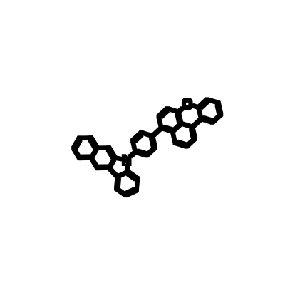 c1ccc2c(c1)Oc1ccc(-c3ccc(-n4c5ccccc5c5cc6ccccc6cc54)cc3)c3cccc-2c13